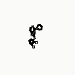 Clc1cccc(Sc2cn3c(N4CCCCC4)nccc3n2)c1Cl